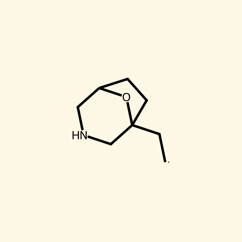 [CH2]CC12CCC(CNC1)O2